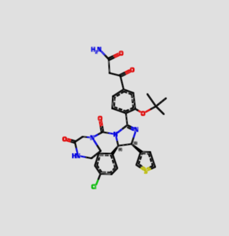 CC(C)(C)Oc1cc(C(=O)CC(N)=O)ccc1C1=N[C@@H](c2ccsc2)[C@@H](c2ccc(Cl)cc2)N1C(=O)N1CCNC(=O)C1